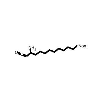 CCCCCCCCCCCCCCCCCCC(N)C=C=O